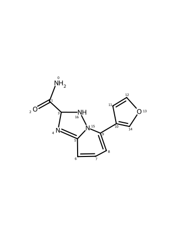 NC(=O)C1N=C2C=CC=C(c3ccoc3)N2N1